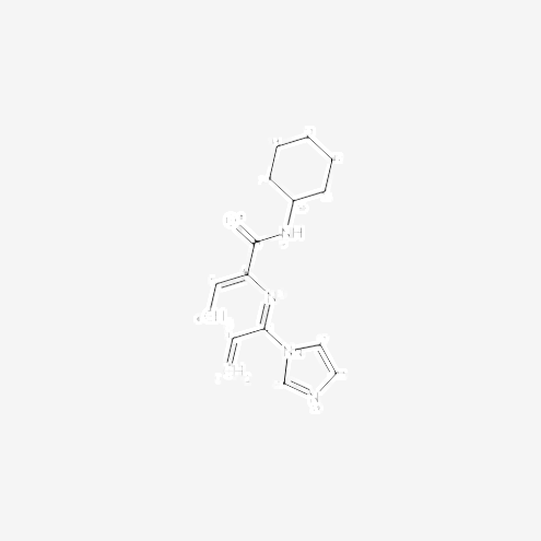 C=C/C(=N\C(=C/C)C(=O)NC1CCCCC1)n1ccnc1